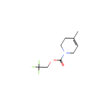 CC1=CCN(C(=O)OCC(F)(F)F)CC1